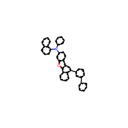 c1ccc(-c2cccc(-c3cc4c5ccc(N(c6ccccc6)c6cccc7ccccc67)cc5oc4c4ccccc34)c2)cc1